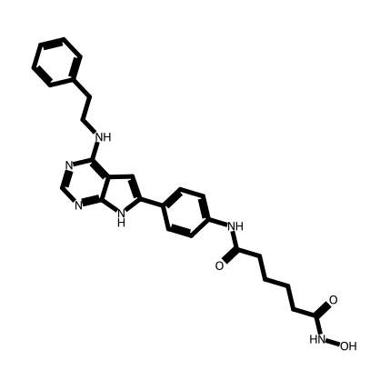 O=C(CCCCC(=O)Nc1ccc(-c2cc3c(NCCc4ccccc4)ncnc3[nH]2)cc1)NO